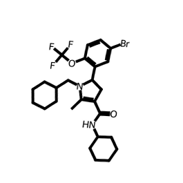 CC1=C(C(=O)NC2CCCCC2)CC(c2cc(Br)ccc2OC(F)(F)F)N1CC1CCCCC1